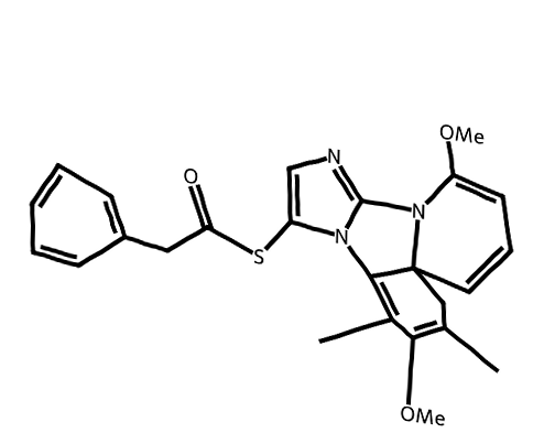 COC1=CC=CC23CC(C)=C(OC)C(C)=C2n2c(SC(=O)Cc4ccccc4)cnc2N13